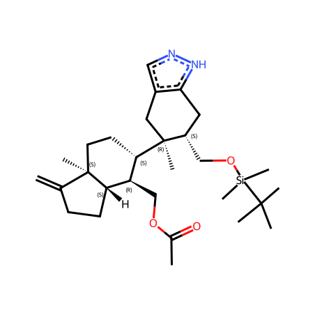 C=C1CC[C@H]2[C@H](COC(C)=O)[C@@H]([C@@]3(C)Cc4cn[nH]c4C[C@@H]3CO[Si](C)(C)C(C)(C)C)CC[C@]12C